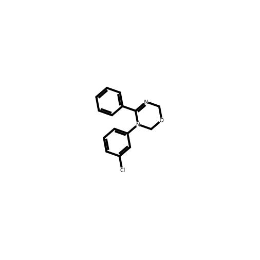 Clc1cccc(N2COCN=C2c2ccccc2)c1